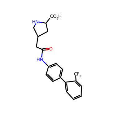 O=C(CC1CNC(C(=O)O)C1)Nc1ccc(-c2ccccc2C(F)(F)F)cc1